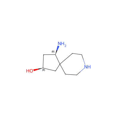 N[C@@H]1C[C@H](O)CC12CCNCC2